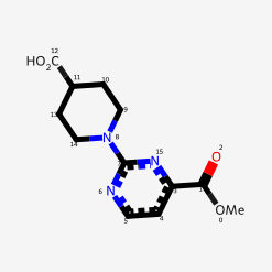 COC(=O)c1ccnc(N2CCC(C(=O)O)CC2)n1